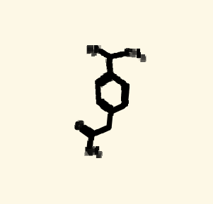 CC(N)c1ccc(CC(N)=O)cc1